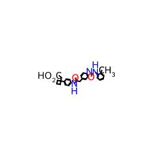 Cc1ccccc1Nc1nc2ccc(CC(=O)Nc3ccc(C4(CC(=O)O)CCC4)cc3)cc2o1